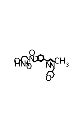 Cc1cc(-c2ccc3c(c2)CN(C2CCC(=O)NC2=O)C3=O)nn1CC1CCOCC1